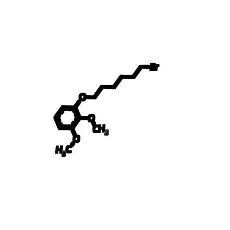 COc1cccc(OCCCCCCBr)c1OC